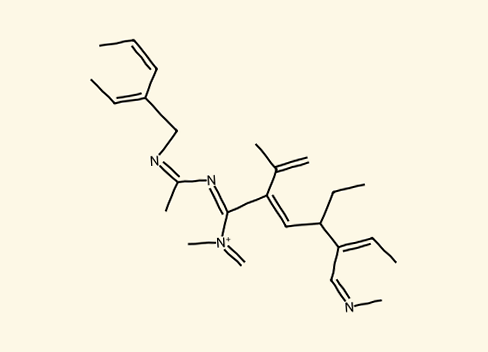 C=C(C)C(=C\C(CC)C(/C=N\C)=C/C)/C(=N/C(C)=N\CC(/C=C\C)=C/C)[N+](=C)C